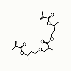 C=C(C)C(=O)OC(C)CCOCC(C)C(=O)OCCC(C)OC(=O)C(=C)C